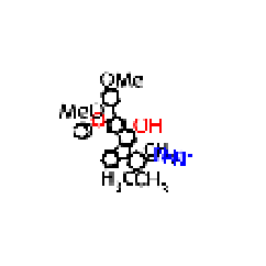 COc1ccc(-c2cc3c(O)cc4c(c3cc2OC2CC3CCC2C3)-c2ccccc2C42CC(C)(C)CC(C)(CN=[N+]=[N-])C2)c(OC)c1